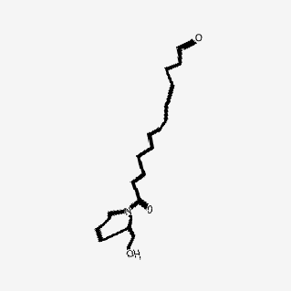 O=CCCCCCCCCCCC(=O)N1CCCC1CO